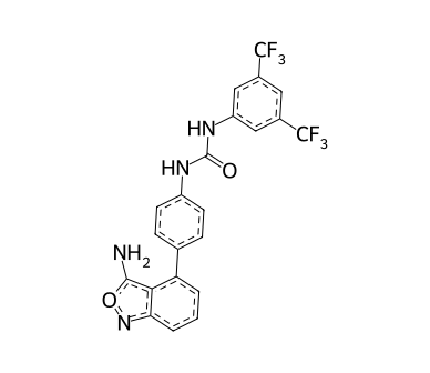 Nc1onc2cccc(-c3ccc(NC(=O)Nc4cc(C(F)(F)F)cc(C(F)(F)F)c4)cc3)c12